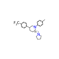 Cc1ccc(N2CC(c3ccc(C(F)(F)F)cc3)CC[C@H]2CN2CCCC2)cc1